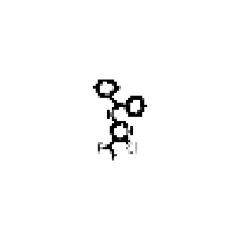 FC(F)c1cc(N=C(c2ccccc2)c2ccccc2)cnc1Cl